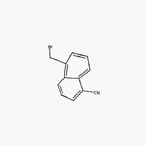 N#Cc1cccc2c(CBr)cccc12